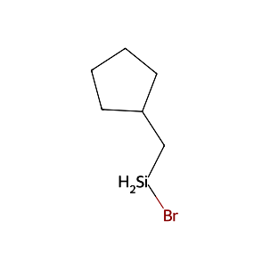 Br[SiH2]CC1CCCC1